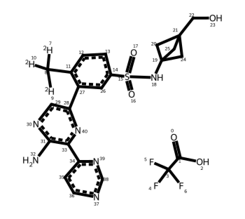 O=C(O)C(F)(F)F.[2H]C([2H])([2H])c1ccc(S(=O)(=O)NC23CC(CO)(C2)C3)cc1-c1cnc(N)c(-c2ccncn2)n1